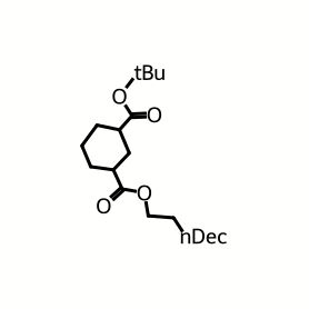 CCCCCCCCCCCCOC(=O)C1CCCC(C(=O)OC(C)(C)C)C1